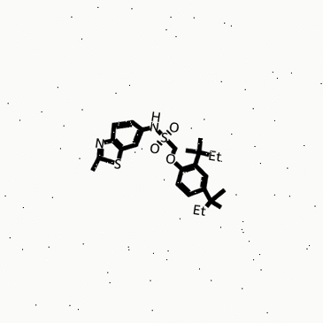 CCC(C)(C)c1ccc(OCS(=O)(=O)Nc2ccc3nc(C)sc3c2)c(C(C)(C)CC)c1